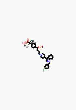 CC(C)(C(=O)O)c1ccc(C(O)CCCN2CCC(c3cn(Cc4ccc(F)cc4)c4ccccc34)CC2)cc1